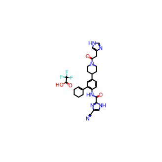 N#Cc1c[nH]c(C(=O)Nc2ccc(C3CCN(C(=O)Cc4c[nH]cn4)CC3)cc2C2=CCCCC2)n1.O=C(O)C(F)(F)F